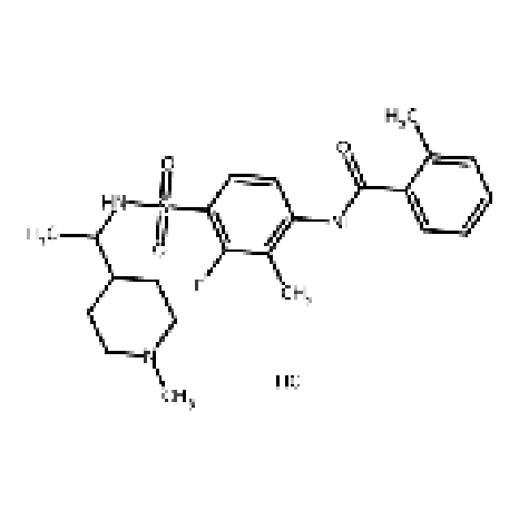 Cc1ccccc1C(=O)Nc1ccc(S(=O)(=O)NC(C)C2CCN(C)CC2)c(F)c1C.Cl